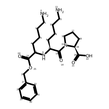 NCCCCC(N[C@@H](CCCCN)C(=O)N1CCC[C@H]1C(=O)O)C(=O)OCc1ccccc1